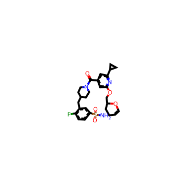 NS(=O)(=O)c1ccc(F)c(CC2CCN(C(=O)c3cc(OCC4CCC=CO4)nc(C4CC4)c3)CC2)c1